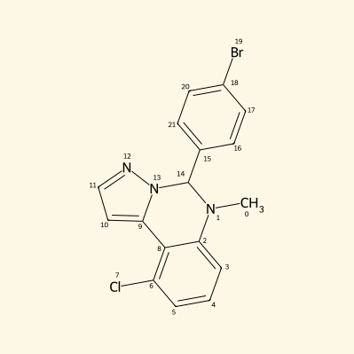 CN1c2cccc(Cl)c2-c2ccnn2C1c1ccc(Br)cc1